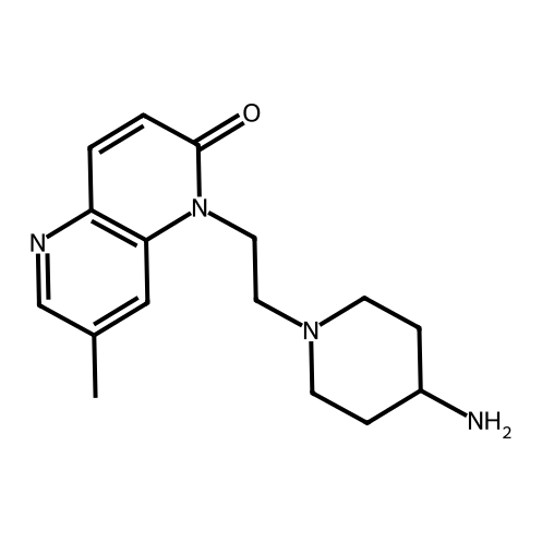 Cc1cnc2ccc(=O)n(CCN3CCC(N)CC3)c2c1